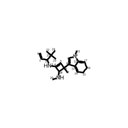 C=CC(NC1=CC(C)(c2cn(C)c3c2=CCCC=3)C1NC)C(C)(C)C